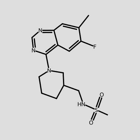 Cc1cc2ncnc(N3CCCC(CNS(C)(=O)=O)C3)c2cc1F